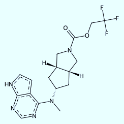 CN(c1ncnc2[nH]ccc12)[C@@H]1C[C@@H]2CN(C(=O)OCC(F)(F)F)C[C@@H]2C1